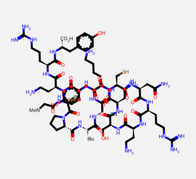 CC[C@H](C)[C@H](NC(=O)[C@@H](NC(=O)[C@@H]1CCCN1C(=O)[C@@H](NC(=O)CNC)C(C)C)[C@@H](C)CC)C(=O)N[C@@H](Cc1ccc(O)cc1)C(=O)N[C@@H](CS)C(=O)N[C@@H](CC(N)=O)C(=O)N[C@@H](CCCNC(=N)N)C(=O)N[C@@H](CCN)C(=O)N[C@H](C(=O)N[C@H](CCN)C(=O)N[C@@H](CCCCN)C(=O)N[C@@H](CS)C(=O)N[C@@H](CCN)C(=O)N[C@@H](CCCNC(=N)N)C(=O)N[C@@H](Cc1ccc(O)cc1)C(=O)O)[C@@H](C)O